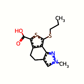 CCCSc1sc(C(=O)O)c2c1-c1nn(C)cc1CC2